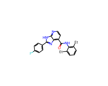 CCc1cccc(CC)c1NC(=O)c1ccnc2[nH]c(-c3ccc(F)cc3)nc12